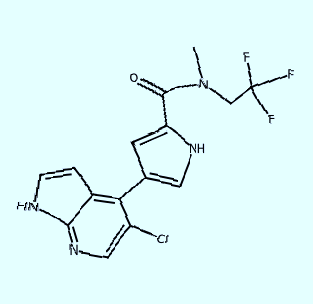 CN(CC(F)(F)F)C(=O)c1cc(-c2c(Cl)cnc3[nH]ccc23)c[nH]1